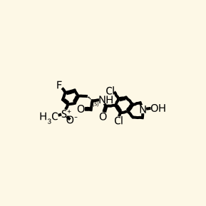 C[S+]([O-])c1cc(F)cc(C[C@@H](C=O)NC(=O)c2c(Cl)cc3c(c2Cl)CCN(O)C3)c1